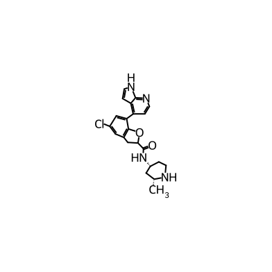 C[C@@H]1C[C@H](NC(=O)C2Cc3cc(Cl)cc(-c4ccnc5[nH]ccc45)c3O2)CCN1